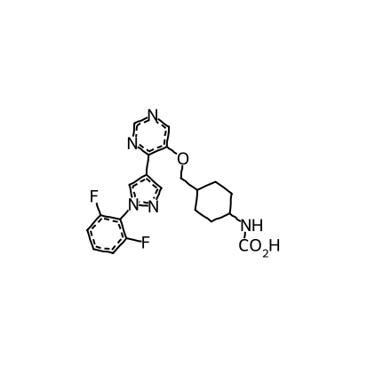 O=C(O)NC1CCC(COc2cncnc2-c2cnn(-c3c(F)cccc3F)c2)CC1